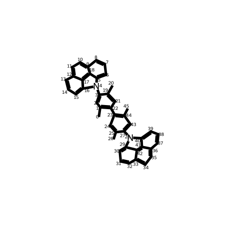 Cc1cc(-n2c3cccc4ccc5cccc2c5c43)c(C)cc1-c1cc(C)c(-n2c3cccc4ccc5cccc2c5c43)cc1C